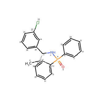 CC[C@@H](NP(=O)(c1ccccc1)c1ccccc1)c1cccc(Cl)c1